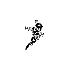 CC#CCOc1ccc(S(=O)(=O)N[C@H](Cc2ccc(F)cc2)C(=O)NO)cc1